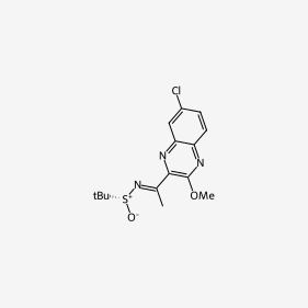 COc1nc2ccc(Cl)cc2nc1/C(C)=N/[S@+]([O-])C(C)(C)C